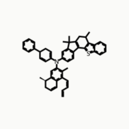 C=C/C=C\c1c(C)c(N(C2=CCC(c3ccccc3)C=C2)c2ccc3c(c2)C(C)(C)C2=C3c3sc4ccccc4c3C(C)C2)cc2c1C=CC[C@H]2C